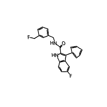 O=C(NCc1cccc(CF)c1)c1[nH]c2ccc(F)cc2c1-c1ccccc1